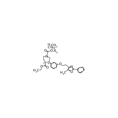 CCOC(=O)[C@H]1CCN(C(=O)OC(C)(C)C)C[C@H]1c1cccc(OCCc2nc(-c3ccccc3)oc2C)c1